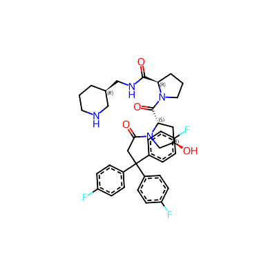 O=C(NC[C@@H]1CCCNC1)[C@H]1CCCN1C(=O)[C@@H]1C[C@@H](O)CN1C(=O)CC(c1ccc(F)cc1)(c1ccc(F)cc1)c1ccc(F)cc1